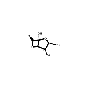 CC(C)(C)[C@@H]1O[C@]2(O)C(=O)OC2[C@@H]1O